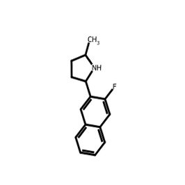 CC1CCC(c2cc3ccccc3cc2F)N1